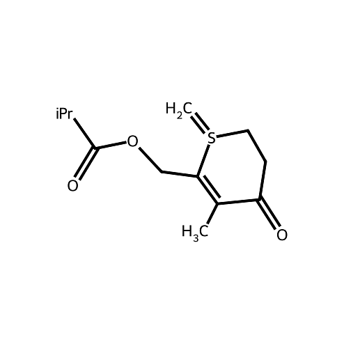 C=S1CCC(=O)C(C)=C1COC(=O)C(C)C